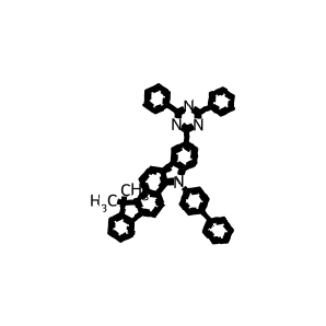 CC1(C)c2ccccc2-c2ccc3c(ccc4c5cc(-c6nc(-c7ccccc7)nc(-c7ccccc7)n6)ccc5n(-c5ccc(-c6ccccc6)cc5)c34)c21